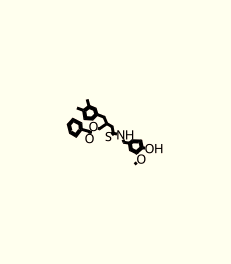 COc1cc(CNC(=S)CC(COC(=O)c2ccccc2)Cc2ccc(C)c(C)c2)ccc1O